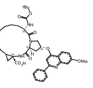 COc1ccc2c(O[C@@H]3C[C@H]4C(=O)N[C@]5(C(=O)O)CC5CCCCCCC[C@H](NC(=O)OC(C)(C)C)C(=O)N4C3)cc(-c3ccccc3)nc2c1